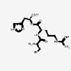 CC(C)C[C@H](N)C(=O)N[C@@H](CCCNC(=N)N)C(=O)N[C@@H](Cc1c[nH]cn1)C(=O)O